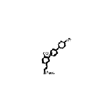 CCCCCC=Cc1ccc(C(=O)O)c(-c2ccc(C3CCC(CCC)CC3)cc2)c1